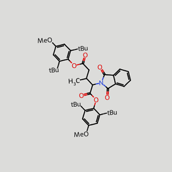 COc1cc(C(C)(C)C)c(OC(=O)CC(C)C(C(=O)Oc2c(C(C)(C)C)cc(OC)cc2C(C)(C)C)N2C(=O)c3ccccc3C2=O)c(C(C)(C)C)c1